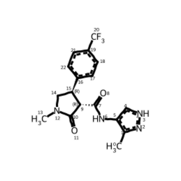 Cc1n[nH]cc1NC(=O)[C@@H]1C(=O)N(C)C[C@H]1c1ccc(C(F)(F)F)cc1